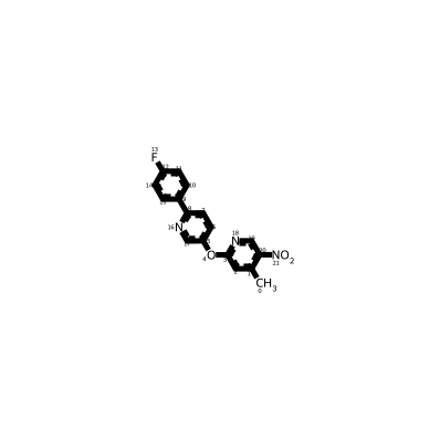 Cc1cc(Oc2ccc(-c3ccc(F)cc3)nc2)ncc1[N+](=O)[O-]